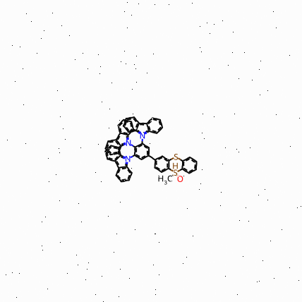 C[SH]1(=O)c2ccccc2Sc2cc(-c3cc(-n4c5ccccc5c5ccccc54)c(-n4c5ccccc5c5ccccc54)c(-n4c5ccccc5c5ccccc54)c3)ccc21